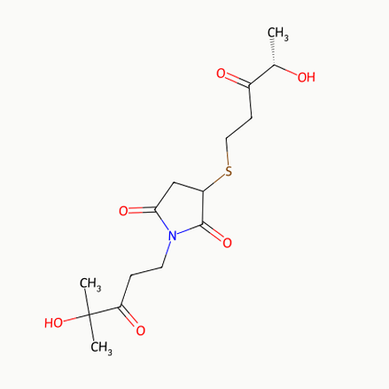 C[C@H](O)C(=O)CCSC1CC(=O)N(CCC(=O)C(C)(C)O)C1=O